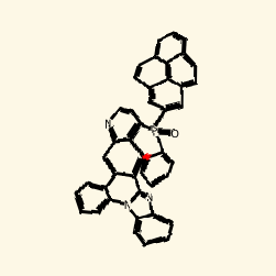 O=P(c1ccccc1)(c1cc2ccc3cccc4ccc(c1)c2c34)c1ccnc2cc3c4ccccc4n4c5ccccc5nc4c3cc12